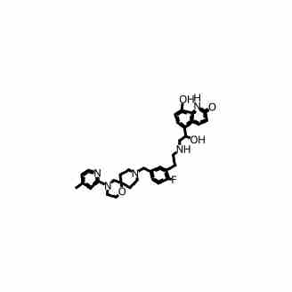 Cc1ccnc(N2CCOC3(CCN(Cc4ccc(F)c(CCNCC(O)c5ccc(O)c6[nH]c(=O)ccc56)c4)CC3)C2)c1